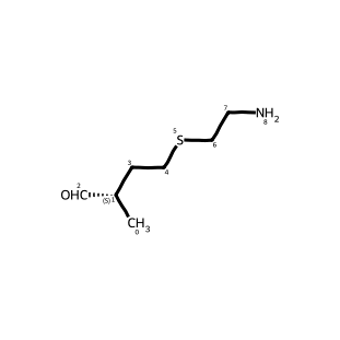 C[C@H](C=O)CCSCCN